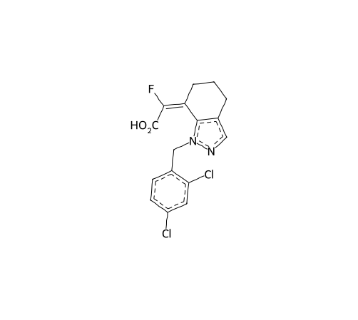 O=C(O)/C(F)=C1/CCCc2cnn(Cc3ccc(Cl)cc3Cl)c21